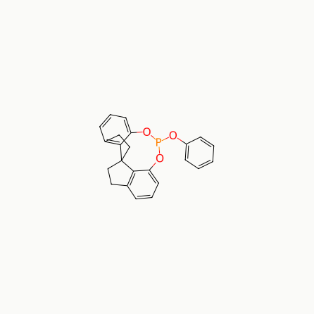 c1ccc(OP2Oc3cccc4c3C3(CC4)CCc4cccc(c43)O2)cc1